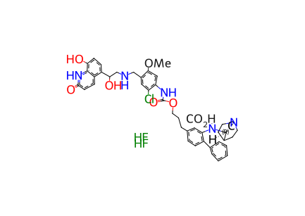 COc1cc(NC(=O)OCCCc2ccc(-c3ccccc3)c(N(C(=O)O)[C@H]3CN4CCC3CC4)c2)c(Cl)cc1CNCC(O)c1ccc(O)c2[nH]c(=O)ccc12.F.F